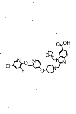 O=C(O)c1ccc2nc(CN3CCC(Oc4ccnc(COc5ncc(Cl)cc5F)c4)CC3)n(C[C@@H]3CCO3)c2c1